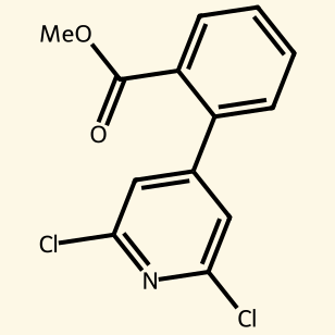 COC(=O)c1ccccc1-c1cc(Cl)nc(Cl)c1